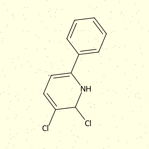 ClC1=C[C]=C(c2ccccc2)NC1Cl